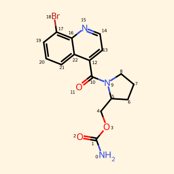 NC(=O)OCC1CCCN1C(=O)c1ccnc2c(Br)cccc12